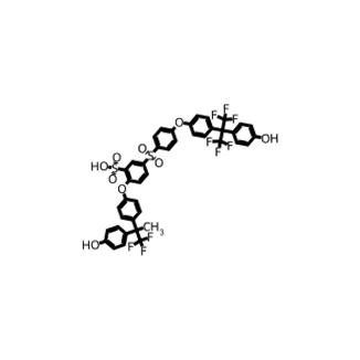 CC(c1ccc(O)cc1)(c1ccc(Oc2ccc(S(=O)(=O)c3ccc(Oc4ccc(C(c5ccc(O)cc5)(C(F)(F)F)C(F)(F)F)cc4)cc3)cc2S(=O)(=O)O)cc1)C(F)(F)F